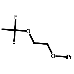 CC(C)OCCOC(C)(F)F